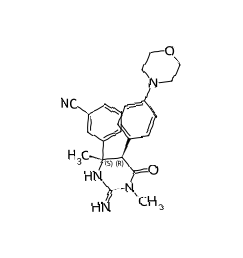 CN1C(=N)N[C@](C)(c2cccc(C#N)c2)[C@@H](c2ccc(N3CCOCC3)cc2)C1=O